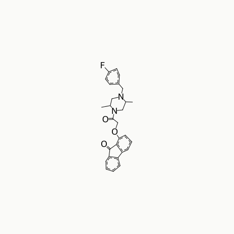 CC1CN(C(=O)COc2cccc3c2C(=O)c2ccccc2-3)C(C)CN1Cc1ccc(F)cc1